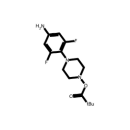 CC(C)(C)C(=O)ON1CCN(c2c(F)cc(N)cc2F)CC1